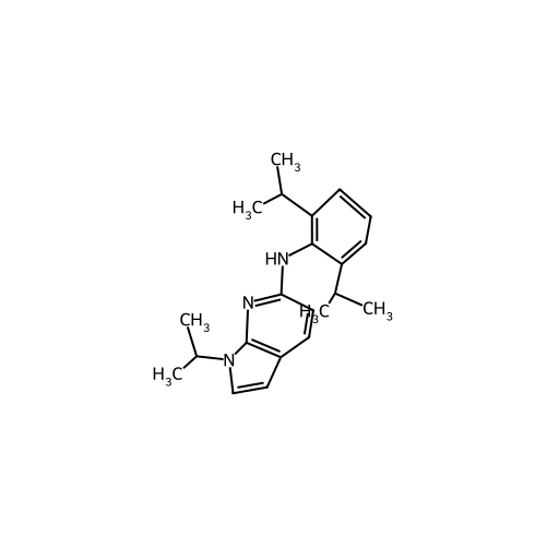 CC(C)c1cccc(C(C)C)c1Nc1ccc2ccn(C(C)C)c2n1